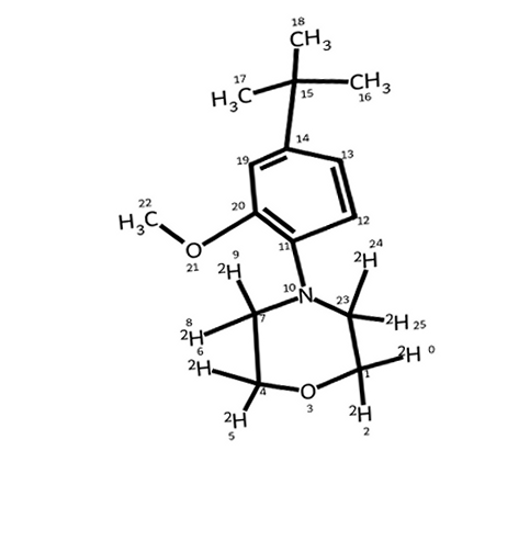 [2H]C1([2H])OC([2H])([2H])C([2H])([2H])N(c2ccc(C(C)(C)C)cc2OC)C1([2H])[2H]